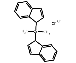 [CH3][Zr]([CH3])([CH]1C=Cc2ccccc21)[CH]1C=Cc2ccccc21.[Cl-].[Cl-]